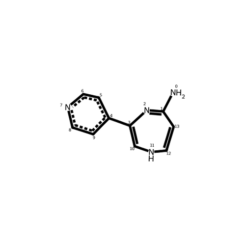 NC1=NC(c2ccncc2)=CNC=C1